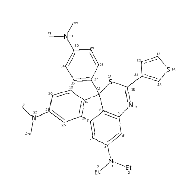 CCN(CC)c1ccc2c(c1)N=C(c1ccsc1)SC2(c1ccc(N(C)C)cc1)c1ccc(N(C)C)cc1